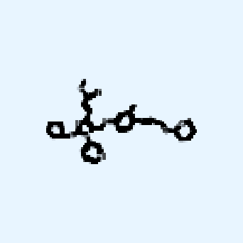 COC(=O)/C=C/c1nc(SC2CCCC2)n(-c2cccnc2)c1COc1ccc(C#CCOC2CCCCO2)c(C)c1